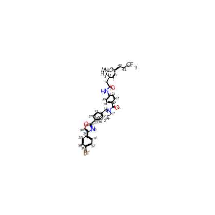 COC(/C=C\C(C)CC(=O)Nc1ccc(C(=O)N(CC(=O)O)Cc2ccc(-c3nc(-c4ccc(Br)cc4)co3)cc2)cc1)=C/CC(F)(F)F